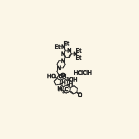 CCN(CC)c1cc(N2CCN(CC(=O)[C@@]3(O)CC[C@H]4[C@@H]5CCC6=CC(=O)CC[C@]6(C)[C@H]5[C@H](O)C[C@@]43C)CC2)nc(N(CC)CC)n1.Cl.Cl